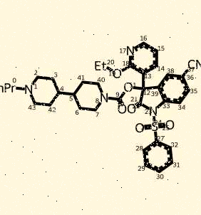 CCCN1CCC(C2CCN(C(=O)OC3(c4cccnc4OCC)C(=O)N(S(=O)(=O)c4ccccc4)c4ccc(C#N)cc43)CC2)CC1